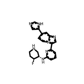 F[C@H]1CCNC[C@@H]1Nc1cccc(-c2cnc3cc(-c4cnc[nH]4)ccn23)n1